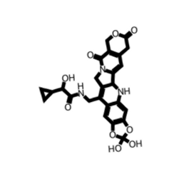 O=C1Cc2cc3n(c(=O)c2CO1)CC1=C(CNC(=O)C(O)C2CC2)c2cc4c(cc2NC13)OC(O)(O)O4